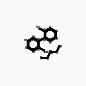 CCOCC.Ic1ccccc1-c1ccccc1I